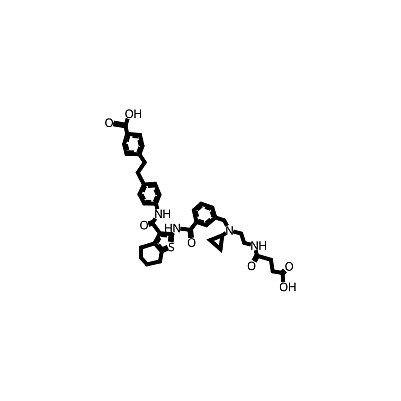 O=C(O)CCC(=O)NCCN(Cc1cccc(C(=O)Nc2sc3c(c2C(=O)Nc2ccc(CCc4ccc(C(=O)O)cc4)cc2)CCCC3)c1)C1CC1